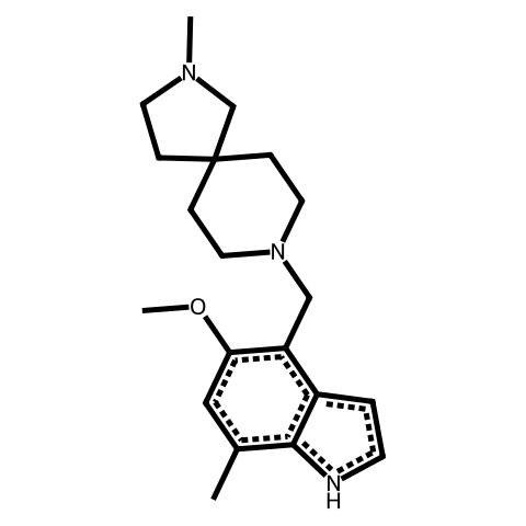 COc1cc(C)c2[nH]ccc2c1CN1CCC2(CCN(C)C2)CC1